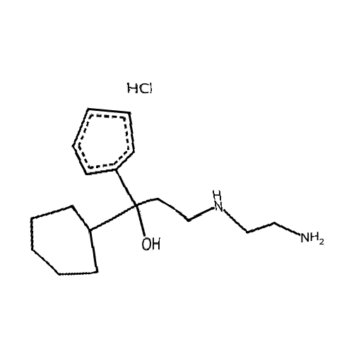 Cl.NCCNCCC(O)(c1ccccc1)C1CCCCC1